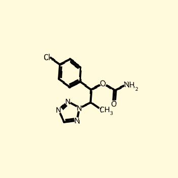 CC(C(OC(N)=O)c1ccc(Cl)cc1)n1ncnn1